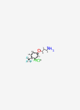 Cl.NCCCOc1ccc(C(F)(F)F)cc1